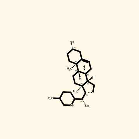 CC1CCC([C@@H](C)[C@H]2CC[C@H]3[C@@H]4CC=C5C[C@@H](N)CC[C@]5(C)[C@H]4CC[C@]23C)NC1